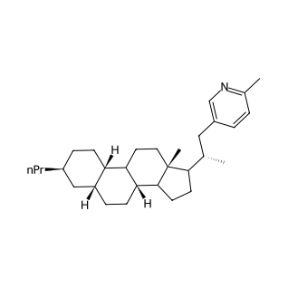 CCC[C@H]1CC[C@@H]2C3CC[C@@]4(C)C(CCC4[C@@H](C)Cc4ccc(C)nc4)[C@@H]3CC[C@@H]2C1